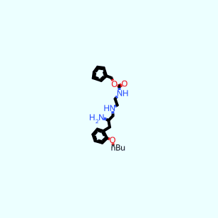 CCCCOc1ccccc1CC(N)CNCCNC(=O)OCc1ccccc1